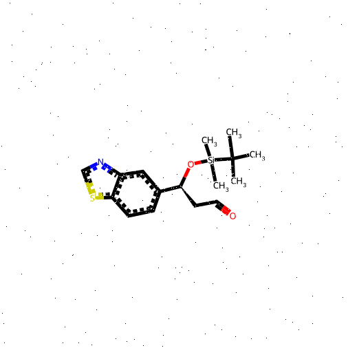 CC(C)(C)[Si](C)(C)O[C@@H](CC=O)c1ccc2scnc2c1